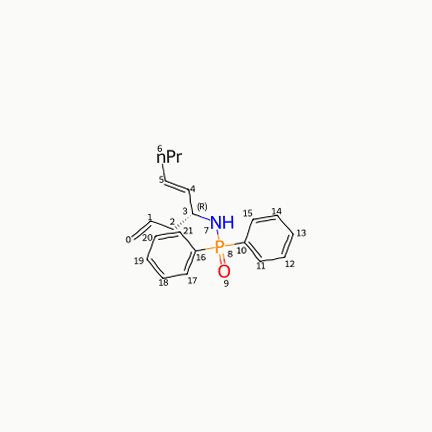 C=CC[C@H](C=CCCC)NP(=O)(c1ccccc1)c1ccccc1